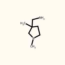 CN1CCC(C)(CN)C1